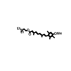 CCN(CC)CCOC(=O)/C=C(C)/C=C/C=C(C)/C=C/c1c(C)cc(OC)c(C)c1C